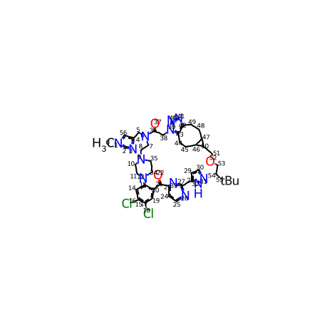 Cn1cnc(CN(CCN2CCN(c3cc(Cl)c(Cl)cc3C(=O)c3ccnc(-c4ccn[nH]4)n3)CC2)C(=O)Cn2nnc3c2CCC2C(CC3)C2COCCC(C)(C)C)c1